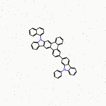 c1ccc(-n2c3ccccc3c3ccc(-c4ccc5c(c4)c4ccccc4c4cc6c(cc54)c4ccccc4n6-c4cccc5ccccc45)cc32)cc1